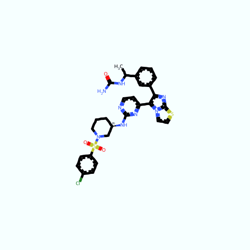 CC(NC(N)=O)c1cccc(-c2nc3sccn3c2-c2ccnc(N[C@@H]3CCCN(S(=O)(=O)c4ccc(Cl)cc4)C3)n2)c1